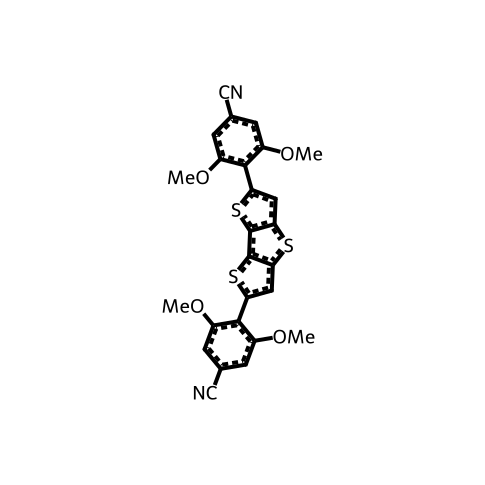 COc1cc(C#N)cc(OC)c1-c1cc2sc3cc(-c4c(OC)cc(C#N)cc4OC)sc3c2s1